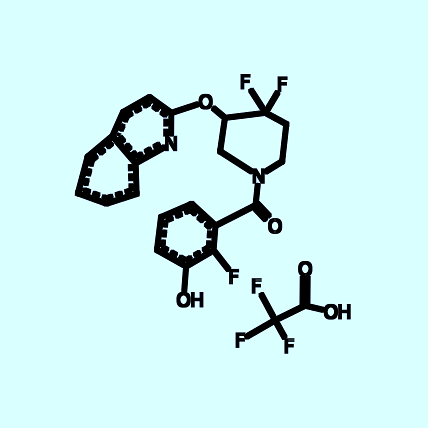 O=C(O)C(F)(F)F.O=C(c1cccc(O)c1F)N1CCC(F)(F)C(Oc2ccc3ccccc3n2)C1